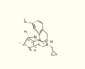 COc1ccc2c(c1)[C@@]13CCN(CC4CC4)[C@H](C2)[C@]12CC[C@H]1N[C@H](C)[C@@H](C2)[C@H]13